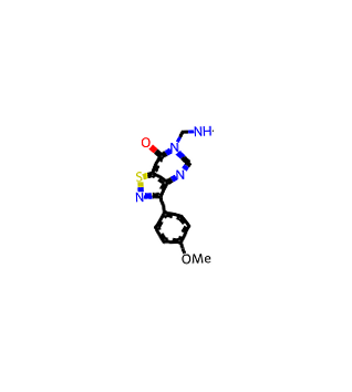 COc1ccc(-c2nsc3c(=O)n(C[NH])cnc23)cc1